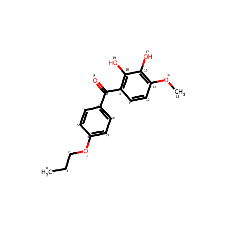 CCCOc1ccc(C(=O)c2ccc(OC)c(O)c2O)cc1